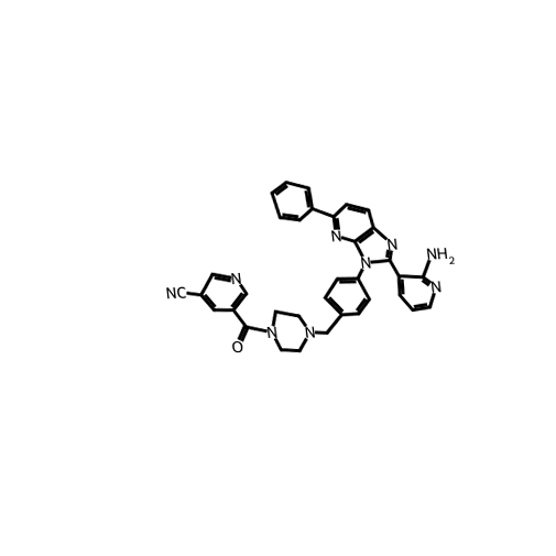 N#Cc1cncc(C(=O)N2CCN(Cc3ccc(-n4c(-c5cccnc5N)nc5ccc(-c6ccccc6)nc54)cc3)CC2)c1